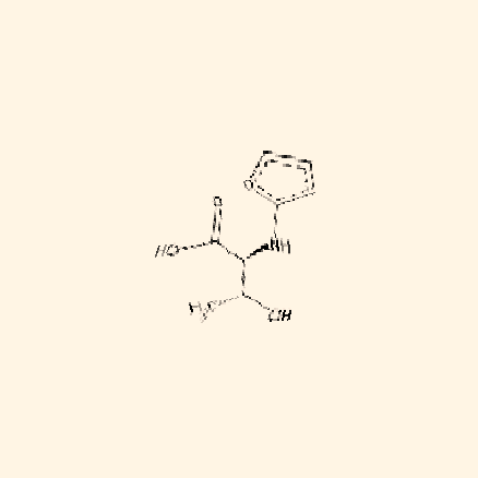 C[C@@H](O)[C@H](Nc1ccco1)C(=O)O